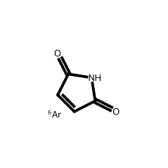 O=C1C=CC(=O)N1.[6Ar]